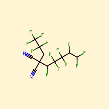 N#CC(C#N)(CC(F)(F)C(F)(F)F)C(F)C(F)(F)C(F)(F)C(F)C(F)F